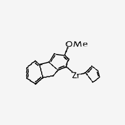 COc1c[c]([Zr][C]2=CC=CC2)c2c(c1)-c1ccccc1C2